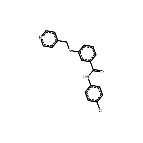 O=C(Nc1ccc(Cl)cc1)c1cccc(SCc2ccncc2)c1